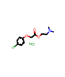 CN(C)CCOC(=O)COc1ccc(Cl)cc1.Cl